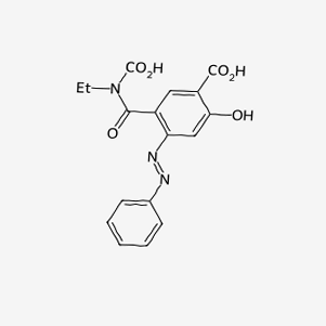 CCN(C(=O)O)C(=O)c1cc(C(=O)O)c(O)cc1N=Nc1ccccc1